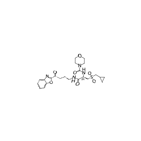 O=C(CCCNC(=O)[C@H](CS(=O)(=O)CC1CC1)NC(=O)N1CCOCC1)c1nc2ccccc2o1